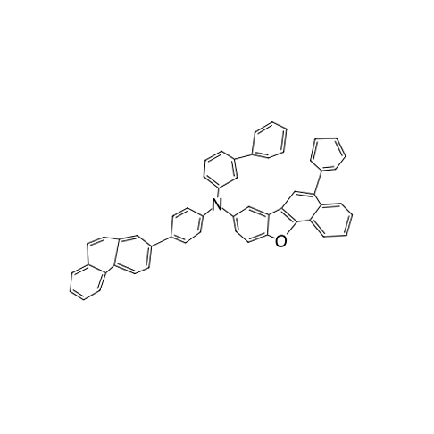 c1ccc(-c2cccc(N(c3ccc(-c4ccc5c(ccc6ccccc65)c4)cc3)c3ccc4oc5c6ccccc6c(-c6ccccc6)cc5c4c3)c2)cc1